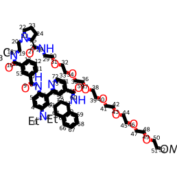 CCN(CC)c1ccc(NC(=O)c2cccc(C(=O)N(C)CCN3CCC[C@H]3C(=O)NCCOCCOCCOCCOCCOCCOCCOCCOC)c2)c(-c2cc(C(=O)N[C@H]3CCCc4ccccc43)ccn2)c1